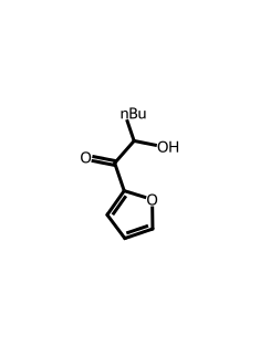 CCCCC(O)C(=O)c1ccco1